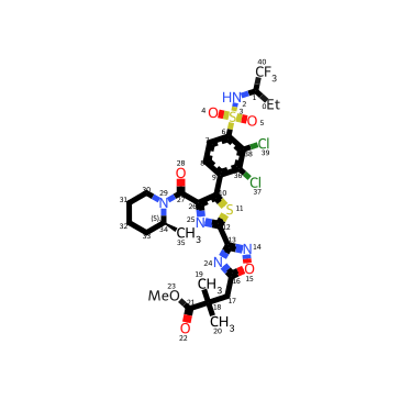 CCC(NS(=O)(=O)c1ccc(-c2sc(-c3noc(CC(C)(C)C(=O)OC)n3)nc2C(=O)N2CCCC[C@@H]2C)c(Cl)c1Cl)C(F)(F)F